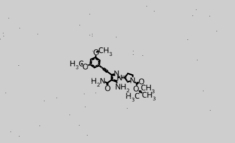 COc1cc(C#Cc2nn([C@H]3CCN(C(=O)OC(C)(C)C)C3)c(N)c2C(N)=O)cc(OC)c1